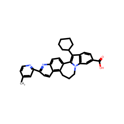 Cc1ccnc(-c2ccc3c4c(ccc3n2)-c2c(C3CCCCC3)c3ccc(C(=O)O)cc3n2CCC4)c1